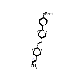 C/C=C/[C@H]1CO[C@H](CC[C@H]2CO[C@H]([C@H]3CC[C@H](CCCCC)CC3)OC2)OC1